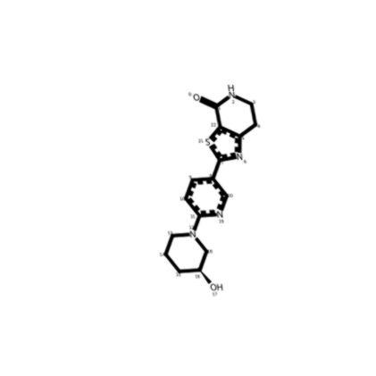 O=C1NCCc2nc(-c3ccc(N4CCC[C@H](O)C4)nc3)sc21